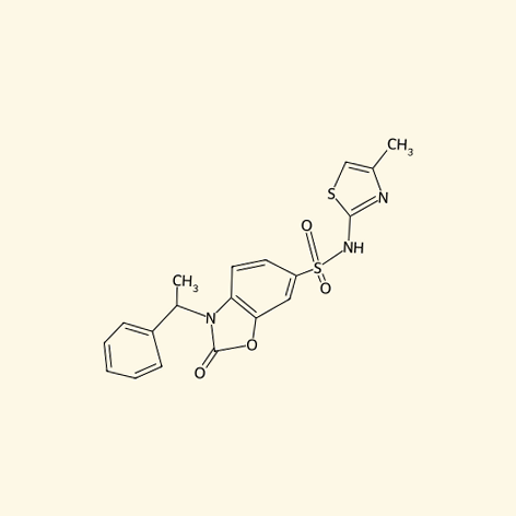 Cc1csc(NS(=O)(=O)c2ccc3c(c2)oc(=O)n3C(C)c2ccccc2)n1